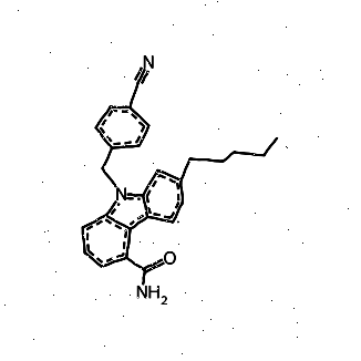 CCCCCc1c[c]c2c3c(C(N)=O)cccc3n(Cc3ccc(C#N)cc3)c2c1